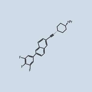 CCC[C@H]1CC[C@H](C#Cc2ccc3cc(-c4cc(F)c(F)c(F)c4)ccc3c2)CC1